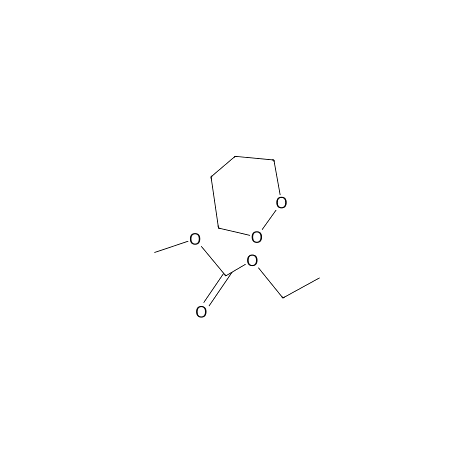 C1CCOOC1.CCOC(=O)OC